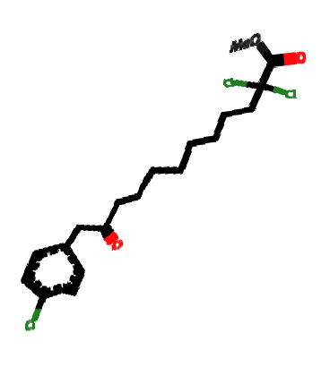 COC(=O)C(Cl)(Cl)CCCCCCCCC(=O)Cc1ccc(Cl)cc1